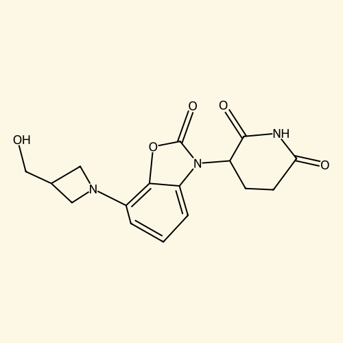 O=C1CCC(n2c(=O)oc3c(N4CC(CO)C4)cccc32)C(=O)N1